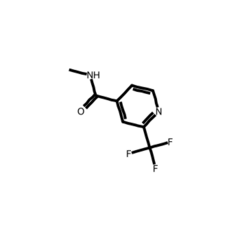 CNC(=O)c1ccnc(C(F)(F)F)c1